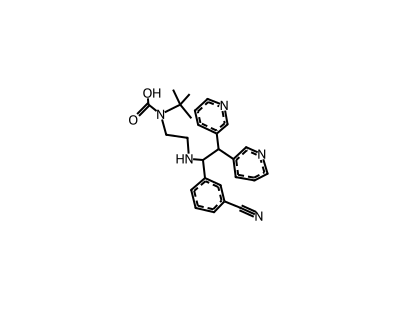 CC(C)(C)N(CCNC(c1cccc(C#N)c1)C(c1cccnc1)c1cccnc1)C(=O)O